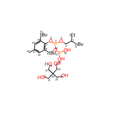 CCCCC(CC)COP(Oc1c(C(C)(C)C)cc(C)cc1C(C)(C)C)OP(O)O.OCC(CO)(CO)CO